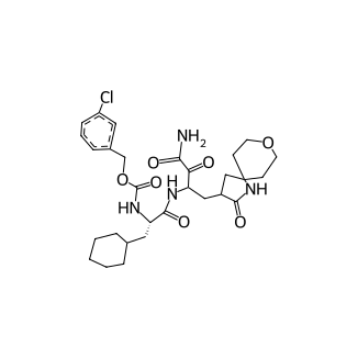 NC(=O)C(=O)C(CC1CC2(CCOCC2)NC1=O)NC(=O)[C@H](CC1CCCCC1)NC(=O)OCc1cccc(Cl)c1